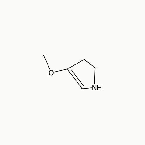 COC1=CN[CH]C1